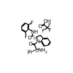 CC(C)[C@H](N)C(=O)N1c2ccccc2C[C@H]1C(=O)Nc1c(F)cccc1F.O=C(O)C(F)(F)F